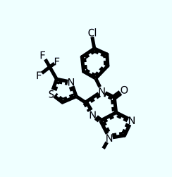 Cn1cnc2c(=O)n(-c3ccc(Cl)cc3)c(-c3csc(C(F)(F)F)n3)nc21